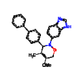 COC1=C(C)C(c2ccc(-c3ccccc3)cc2)N(c2ccc3nc[nH]c3c2)OC1